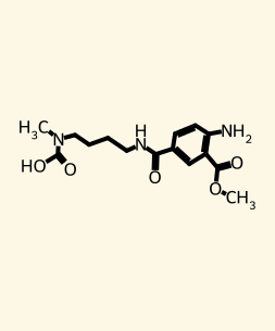 COC(=O)c1cc(C(=O)NCCCCN(C)C(=O)O)ccc1N